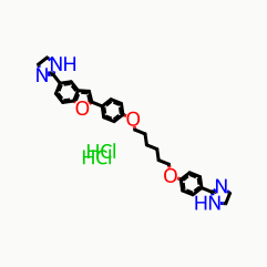 Cl.Cl.c1cc(C2=NCCN2)ccc1OCCCCCCOc1ccc(-c2cc3cc(C4=NCCN4)ccc3o2)cc1